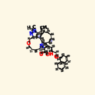 CCc1c2c(nn1C)COCCCCn1c(C(=O)O)c(CCCOc3cccc4c3CCCC4)c3c1/C2=C\CCC/C=C\3